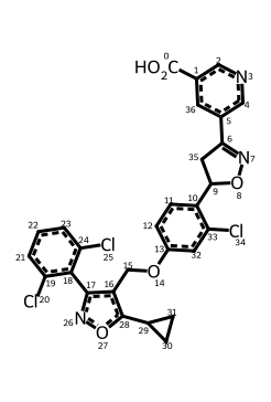 O=C(O)c1cncc(C2=NOC(c3ccc(OCc4c(-c5c(Cl)cccc5Cl)noc4C4CC4)cc3Cl)C2)c1